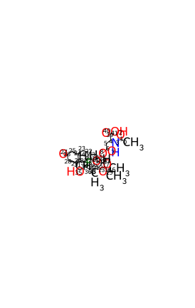 CC(=O)NC(CC(=O)OCC(=O)[C@@]12OC(C)(C)O[C@@H]1C[C@H]1[C@@H]3CCC4=CC(=O)C=C[C@]4(C)[C@@]3(F)[C@@H](O)C[C@@]12C)C(=O)O